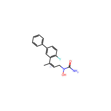 C/C(=C/CN(O)C(N)=O)c1cc(-c2ccccc2)ccc1F